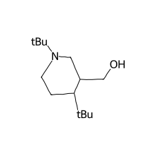 CC(C)(C)C1CCN(C(C)(C)C)CC1CO